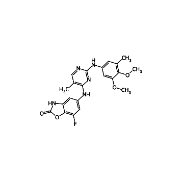 COc1cc(Nc2ncc(C)c(Nc3cc(F)c4oc(=O)[nH]c4c3)n2)cc(C)c1OC